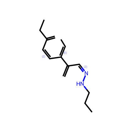 C=C(/C=C\C(=C/C)C(=C)/C=N\NCCC)CC